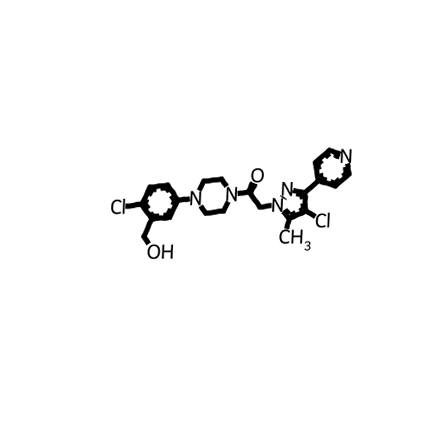 Cc1c(Cl)c(-c2ccncc2)nn1CC(=O)N1CCN(c2ccc(Cl)c(CO)c2)CC1